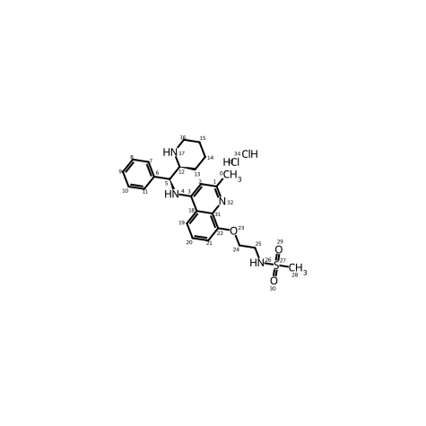 Cc1cc(N[C@@H](c2ccccc2)[C@@H]2CCCCN2)c2cccc(OCCNS(C)(=O)=O)c2n1.Cl.Cl